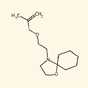 C=C(C)COCCN1CCOC12CCCCC2